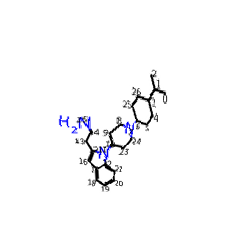 CC(C)C1CCC(N2CCC(n3c(CCN)cc4ccccc43)CC2)CC1